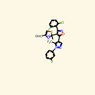 CC1(c2c(-c3c(F)cccc3Cl)noc2-c2cnn(-c3cccc(F)c3)c2C(F)(F)F)NC([C]=O)=CS1